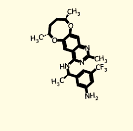 Cc1nc(N[C@H](C)c2cc(N)cc(C(F)(F)F)c2)c2cc3c(cc2n1)O[C@H](C)CC[C@@H](C)O3